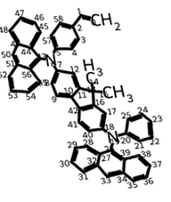 C=Cc1ccc(N(c2ccc3c(c2)C(C)(C)c2cc(N(c4ccccc4)c4c5ccccc5cc5ccccc45)ccc2-3)c2c3ccccc3cc3ccccc23)cc1